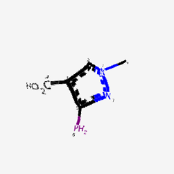 Cn1cc(C(=O)O)c(P)n1